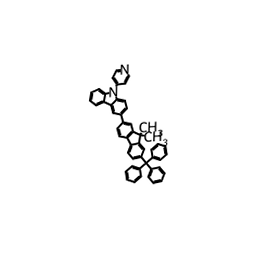 CC1(C)c2cc(-c3ccc4c(c3)c3ccccc3n4-c3ccncc3)ccc2-c2ccc(C(c3ccccc3)(c3ccccc3)c3ccccc3)cc21